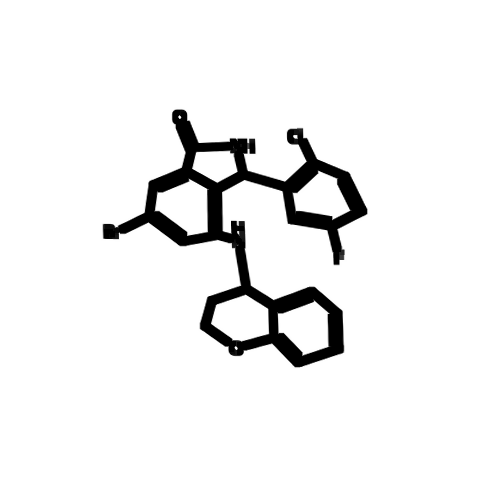 O=C1NC(c2cc(F)ccc2Cl)c2c(NC3CCOc4ccccc43)cc(Br)cc21